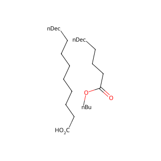 CCCCCCCCCCCCCC(=O)OCCCC.CCCCCCCCCCCCCCCCCC(=O)O